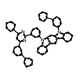 c1ccc(-c2cccc(-c3cc(-c4ccccc4)nc(-c4cccc(-n5c6ccccc6c6cc7c8ccccc8n(-c8cccc(-c9ccccc9)c8)c7cc65)c4)n3)c2)cc1